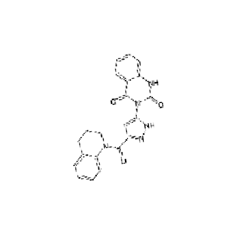 O=C(c1cc(-n2c(=O)[nH]c3ccccc3c2=O)[nH]n1)N1CCCc2ccccc21